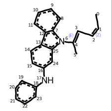 C/C=C\C=C(/C)n1c2ccccc2c2ccc(Nc3ccccc3)cc21